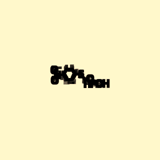 O=[N+]([O-])c1ccc(SCOPO)cc1